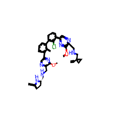 C#CC1(CNCc2ncc(-c3cccc(-c4cccc(-c5cnc(CNC[C@@H]6CCC(=C)N6)c(OC)n5)c4C)c3Cl)nc2OC)CC1